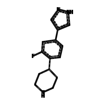 Fc1cc(-c2cn[nH]c2)ccc1C1CCNCC1